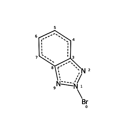 Brn1nc2ccccc2n1